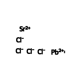 [Cl-].[Cl-].[Cl-].[Cl-].[Pb+2].[Sr+2]